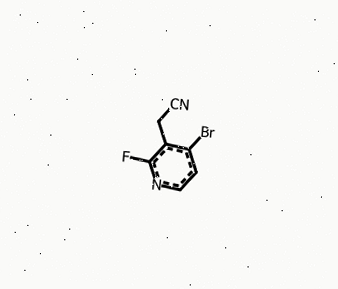 N#CCc1c(Br)ccnc1F